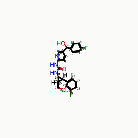 O=C(Nc1ccc(C(O)c2ccc(F)cc2)cn1)N[C@@H]1[C@H]2COc3c(F)ccc(F)c3[C@@H]21